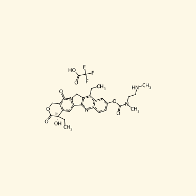 CCc1c2c(nc3ccc(OC(=O)N(C)CCNC)cc13)-c1cc3c(c(=O)n1C2)COC(=O)[C@]3(O)CC.O=C(O)C(F)(F)F